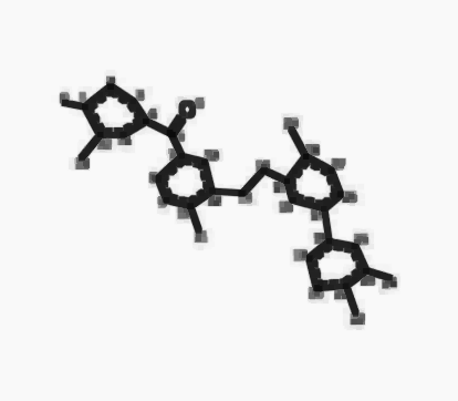 Cc1ccc(C(=O)c2ccc(C)c(CCc3cc(-c4ccc(C)c(C)c4)ccc3C)c2)cc1C